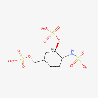 O=S(=O)(O)NC1CCC(COS(=O)(=O)O)C[C@H]1OS(=O)(=O)O